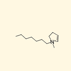 CCCCCCC[N+]1(C)C=CCC1